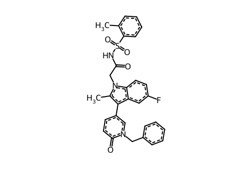 Cc1ccccc1S(=O)(=O)NC(=O)Cn1c(C)c(-c2ccc(=O)n(Cc3ccccc3)c2)c2cc(F)ccc21